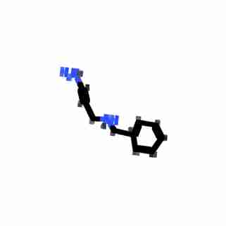 NC#CCNCc1ccccc1